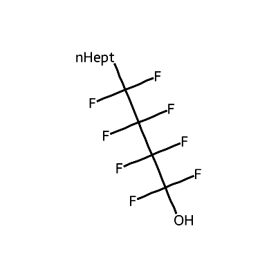 CCCCCCCC(F)(F)C(F)(F)C(F)(F)C(O)(F)F